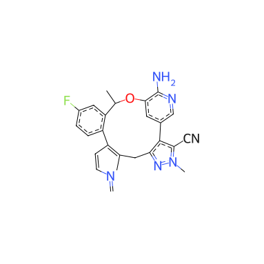 C=N/C=C\C1=C(/C)Cc2nn(C)c(C#N)c2-c2cnc(N)c(c2)OC(C)c2cc(F)ccc21